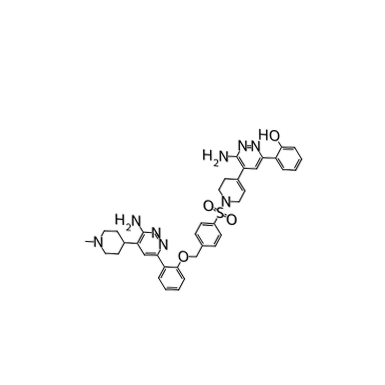 CN1CCC(c2cc(-c3ccccc3OCc3ccc(S(=O)(=O)N4CC=C(c5cc(-c6ccccc6O)nnc5N)CC4)cc3)nnc2N)CC1